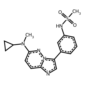 CN(c1ccc2ncc(-c3cccc(NS(C)(=O)=O)c3)n2n1)C1CC1